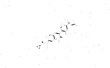 [2H][C@@](O)(/C=C/C)c1cc(C)c(-c2cc3cnc(NC(=O)[C@H]4C[C@H]4F)cc3n(C)c2=O)cn1